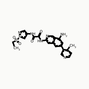 CCS(=O)(=O)n1cc(NC(=O)C(=O)Nc2cc3cc(-c4cnccc4C)cc(N)c3cn2)cn1